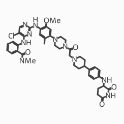 CNC(=O)c1ccccc1Nc1nc(Nc2cc(C)c(N3CCN(C(=O)CN4CCC(c5ccc(NC6CCC(=O)NC6=O)cc5)CC4)CC3)cc2OC)ncc1Cl